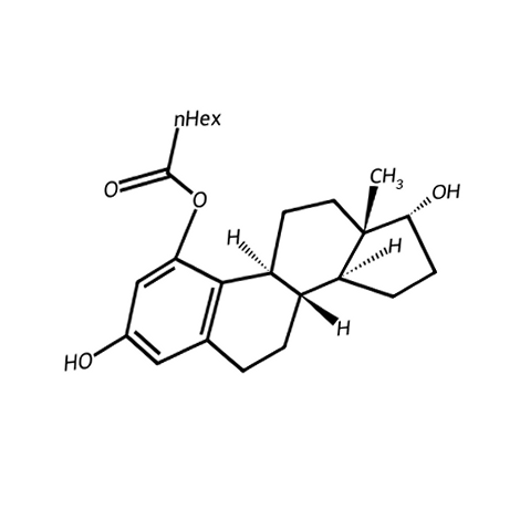 CCCCCCC(=O)Oc1cc(O)cc2c1[C@H]1CC[C@]3(C)[C@H](O)CC[C@H]3[C@@H]1CC2